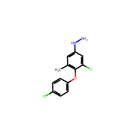 Cc1cc(NN)cc(Cl)c1Oc1ccc(Cl)cc1